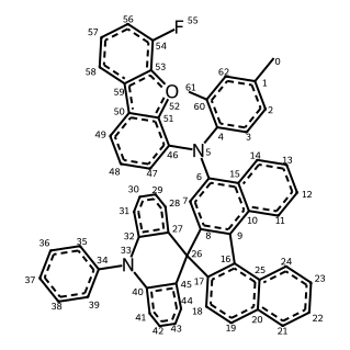 Cc1ccc(N(c2cc3c(c4ccccc24)-c2c(ccc4ccccc24)C32c3ccccc3N(c3ccccc3)c3ccccc32)c2cccc3c2oc2c(F)cccc23)c(C)c1